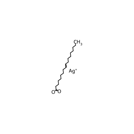 CCCCCCCCC=CCCCCCCCC(=O)[O-].[Ag+]